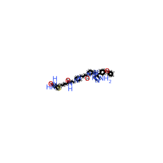 Nc1ncnc2c1c(-c1ccc(Oc3ccccc3)cc1)nn2[C@@H]1CCCN(C(=O)/C=C/CN2CCN(CCNC(=O)CCCC[C@@H]3SCC4NC(=O)NC43)CC2)C1